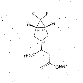 COC(=O)CC(C(=O)O)[C@@H]1C[C@@H]2[C@H](C1)C2(F)F